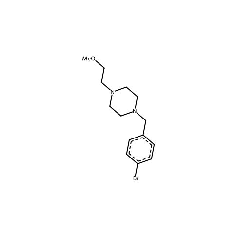 COCCN1CCN(Cc2ccc(Br)cc2)CC1